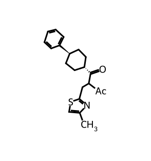 CC(=O)C(Cc1nc(C)cs1)C(=O)[C@H]1CC[C@H](c2ccccc2)CC1